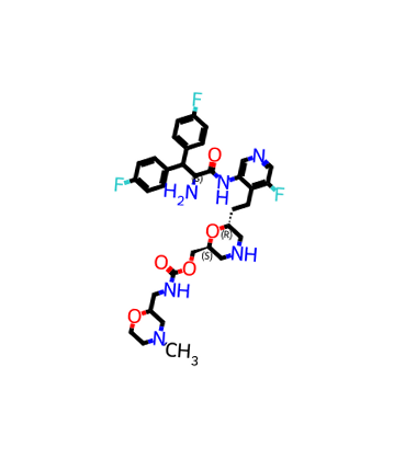 CN1CCOC(CNC(=O)OC[C@@H]2CNC[C@@H](CCc3c(F)cncc3NC(=O)[C@@H](N)C(c3ccc(F)cc3)c3ccc(F)cc3)O2)C1